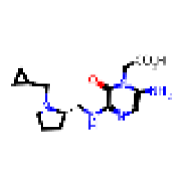 Nc1cnc(NC[C@@H]2CCCN2CC2CC2)c(=O)n1CC(=O)O